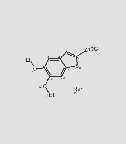 CCOc1cc2cc(C(=O)[O-])sc2cc1OCC.[Na+]